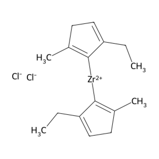 CCC1=CCC(C)=[C]1[Zr+2][C]1=C(C)CC=C1CC.[Cl-].[Cl-]